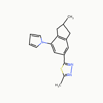 Cc1nnc(-c2cc3c(c(-n4cccc4)c2)CC(C)C3)s1